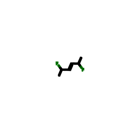 CC(F)C=CC(C)F